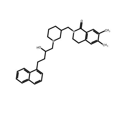 Cc1cc2c(cc1C)C(=O)N(CC1CCCN(CC(O)CCc3cccc4ccccc34)C1)CC2